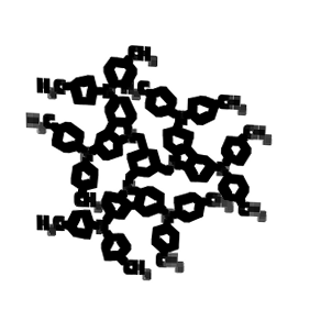 Cc1ccc(N(c2ccc(C)cc2)c2ccc3c(c2)c2cc(N(c4ccc(C)cc4)c4ccc(C)cc4)ccc2n3Cc2cc(Cn3c4ccc(N(c5ccc(C)cc5)c5ccc(C)cc5)cc4c4cc(N(c5ccc(C)cc5)c5ccc(C)cc5)ccc43)cc(Cn3c4ccc(N(c5ccc(C)cc5)c5ccc(C)cc5)cc4c4cc(N(c5ccc(C)cc5)c5ccc(C)cc5)ccc43)c2)cc1